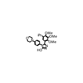 COc1c(-c2nnc(O)n2-c2ccc(N3CCOCC3)cc2)cc(C(C)C)c(OC)c1OC